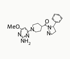 COc1cc(N2CCC(C(=O)N3N=CCC3c3ccccc3)CC2)nc(N)n1